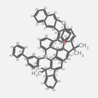 CC1(C)c2ccccc2-c2c(-c3c(-c4cccc5oc6cc7ccccc7cc6c45)cccc3N(c3cccc(-c4ccccc4)c3)c3cccc4c3C(C)(C)c3ccccc3-4)cccc21